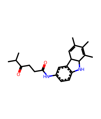 CC1=CC2c3cc(NC(=O)CCC(=O)C(C)C)ccc3NC2C(C)=C1C